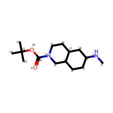 CNC1CCC2CN(C(=O)OC(C)(C)C)CCC2C1